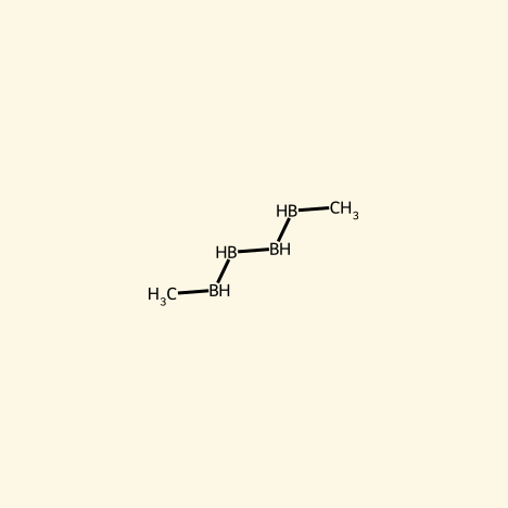 CBBBBC